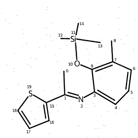 CC(=Nc1cccc(C)c1O[Si](C)(C)C)c1cccs1